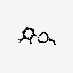 CCN1CCN(c2cccc(Cl)c2C)CC1